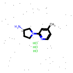 Cc1ccnc(N2CC[C@H](N)C2)c1.Cl.Cl.Cl